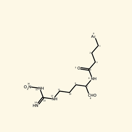 CC(=O)CCCC(=O)NC(C=O)CCCNC(=N)N[N+](=O)[O-]